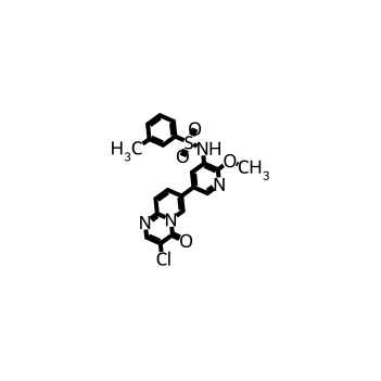 COc1ncc(-c2ccc3ncc(Cl)c(=O)n3c2)cc1NS(=O)(=O)c1cccc(C)c1